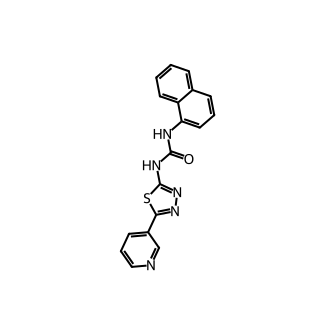 O=C(Nc1nnc(-c2cccnc2)s1)Nc1cccc2ccccc12